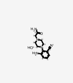 Cl.N#Cc1cccc(N)c1N1CCN(CC(N)=O)CC1